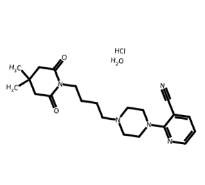 CC1(C)CC(=O)N(CCCCN2CCN(c3ncccc3C#N)CC2)C(=O)C1.Cl.O